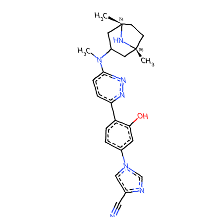 CN(c1ccc(-c2ccc(-n3cnc(C#N)c3)cc2O)nn1)C1C[C@]2(C)CC[C@](C)(C1)N2